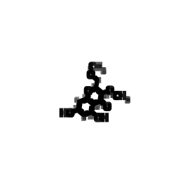 COCc1oc2cc(O)cc(O)c2c(=O)c1OC